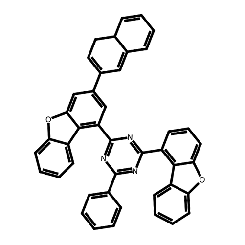 C1=CC2=CC(c3cc(-c4nc(-c5ccccc5)nc(-c5cccc6oc7ccccc7c56)n4)c4c(c3)oc3ccccc34)=CCC2C=C1